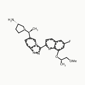 COC[C@@H](C)Oc1cc(F)cc2ccc(-c3nnc4ccc([C@H](C)N5CC[C@H](N)C5)cn34)nc12